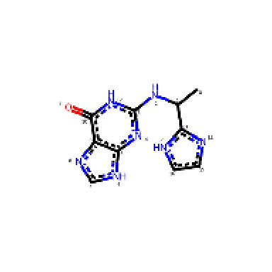 CC(Nc1nc2[nH]cnc2c(=O)[nH]1)c1ncc[nH]1